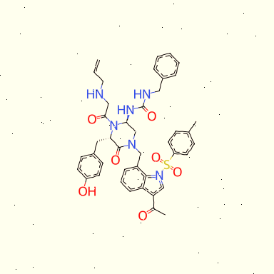 C=CCNCC(=O)N1[C@@H](NC(=O)NCc2ccccc2)CN(Cc2cccc3c(C(C)=O)cn(S(=O)(=O)c4ccc(C)cc4)c23)C(=O)[C@@H]1Cc1ccc(O)cc1